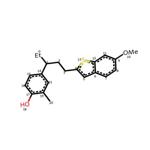 CCC(CCc1cc2ccc(OC)cc2s1)c1ccc(O)c(C)c1